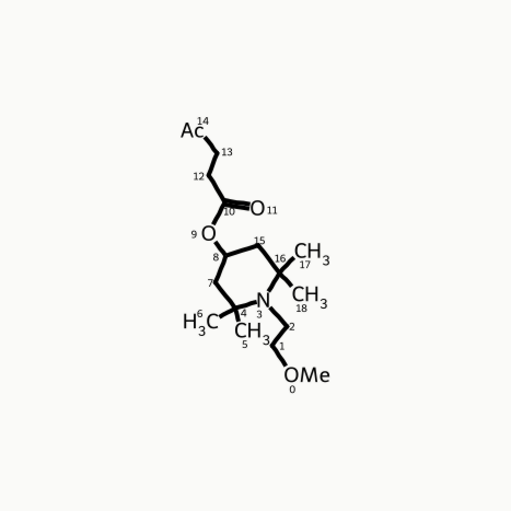 COCCN1C(C)(C)CC(OC(=O)CCC(C)=O)CC1(C)C